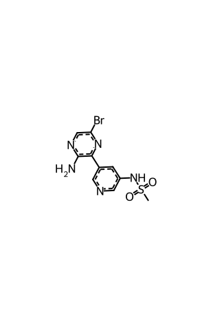 CS(=O)(=O)Nc1cncc(-c2nc(Br)cnc2N)c1